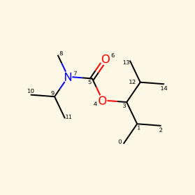 CC(C)C(OC(=O)N(C)C(C)C)C(C)C